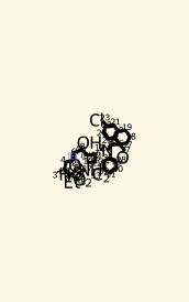 CC[C@@H]([C@@H](C)C/C=C/[C@H](O)[C@@H]1CC[C@H]1CN1CC2(CCCc3cc(Cl)ccc32)COc2ccc(C(=O)O)cc21)S(N)(=O)=O